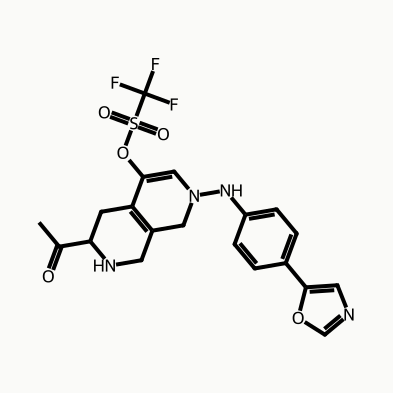 CC(=O)C1CC2=C(CN1)CN(Nc1ccc(-c3cnco3)cc1)C=C2OS(=O)(=O)C(F)(F)F